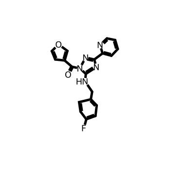 O=C(c1ccoc1)n1nc(-c2ccccn2)nc1NCc1ccc(F)cc1